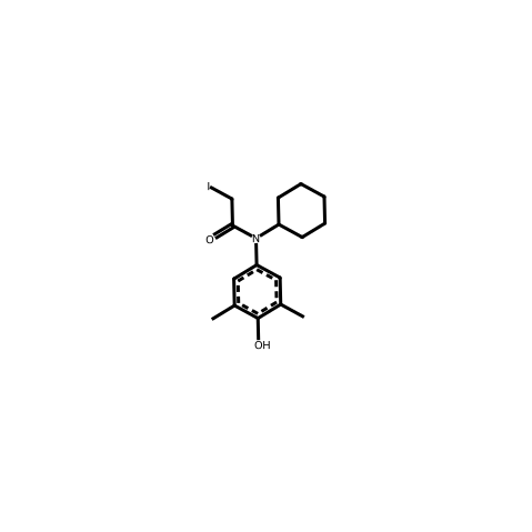 Cc1cc(N(C(=O)CI)C2CCCCC2)cc(C)c1O